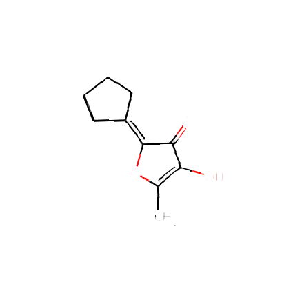 CC1=C(O)C(=O)C(=C2CCCC2)O1